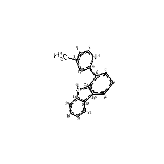 Cc1ccnc(-c2cccc3c2sc2ccccc23)c1